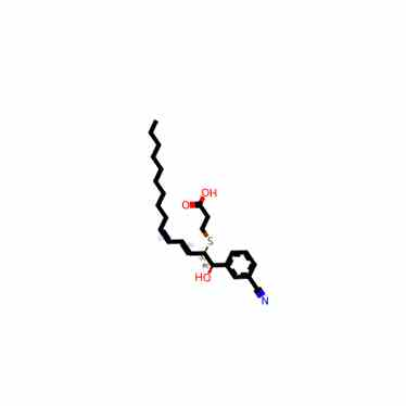 CCCCCCCCC/C=C\C=C\[C@H](SCCC(=O)O)[C@H](O)c1cccc(C#N)c1